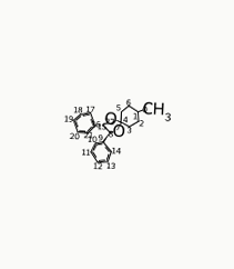 CC1CCC2(CC1)O[C@@H](c1ccccc1)[C@H](c1ccccc1)O2